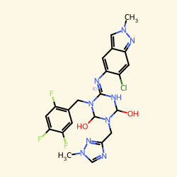 Cn1cnc(CN2C(O)N/C(=N\c3cc4cn(C)nc4cc3Cl)N(Cc3cc(F)c(F)cc3F)C2O)n1